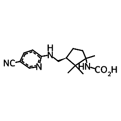 CC1(NC(=O)O)CC[C@H](CNc2ccc(C#N)cn2)C1(C)C